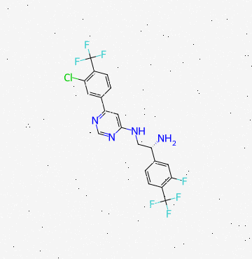 N[C@@H](CNc1cc(-c2ccc(C(F)(F)F)c(Cl)c2)ncn1)c1ccc(C(F)(F)F)c(F)c1